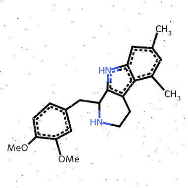 COc1ccc(CC2NCCc3c2[nH]c2cc(C)cc(C)c32)cc1OC